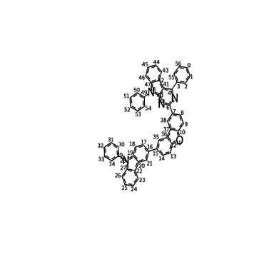 c1ccc(-c2nc(-c3ccc4oc5ccc(-c6ccc7c(c6)c6ccccc6n7-c6ccccc6)cc5c4c3)nc3c2c2ccccc2n3-c2ccccc2)cc1